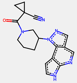 N#CC1(C(=O)N2CCCC(n3ncc4cnc5[nH]ccc5c43)C2)CC1